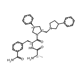 C[C@H](N)C(=O)N[C@@H](Cc1cccc(C(N)=O)c1)C(=O)N1C[C@@H](c2ccccc2)C[C@H]1CN1CCC(c2ccccc2)C1